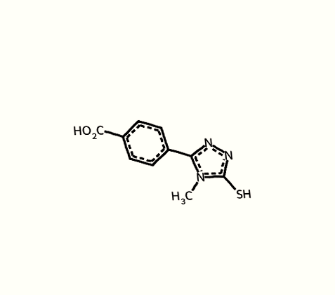 Cn1c(S)nnc1-c1ccc(C(=O)O)cc1